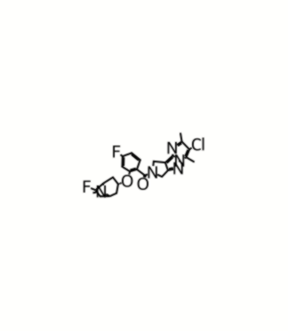 Cc1nc2c3c(nn2c(C)c1Cl)CN(C(=O)c1ccc(F)cc1O[C@H]1CC2CC(F)C(C1)N2C)C3